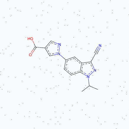 CC(C)n1nc(C#N)c2cc(-n3cc(C(=O)O)cn3)ccc21